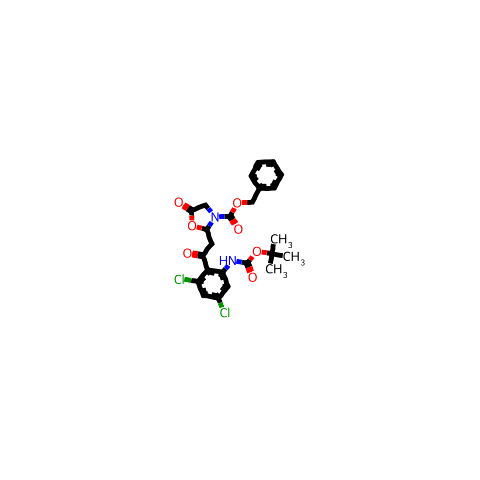 CC(C)(C)OC(=O)Nc1cc(Cl)cc(Cl)c1C(=O)CC1OC(=O)CN1C(=O)OCc1ccccc1